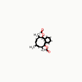 C=C1/C=C\C(C)=C/C(C)/C(OC=O)=c2/cccc/c2=C/1OC=O